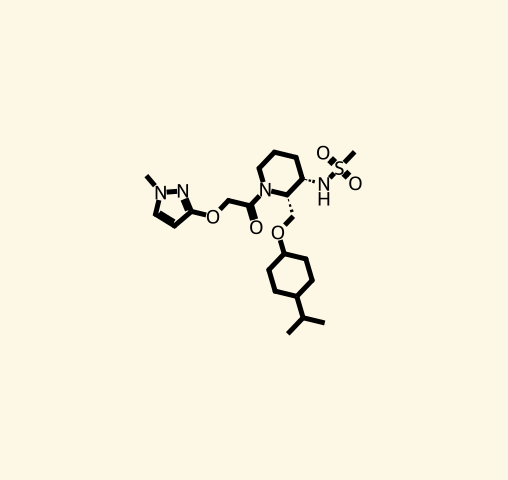 CC(C)C1CCC(OC[C@H]2[C@@H](NS(C)(=O)=O)CCCN2C(=O)COc2ccn(C)n2)CC1